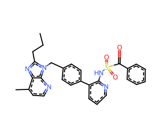 CCCc1nc2c(C)ccnc2n1Cc1ccc(-c2cccnc2NS(=O)(=O)C(=O)c2ccccc2)cc1